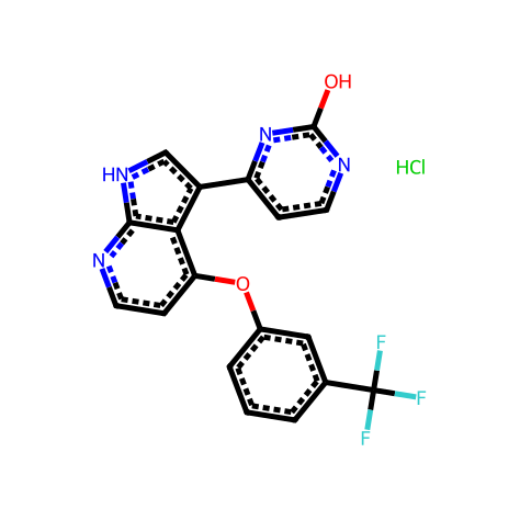 Cl.Oc1nccc(-c2c[nH]c3nccc(Oc4cccc(C(F)(F)F)c4)c23)n1